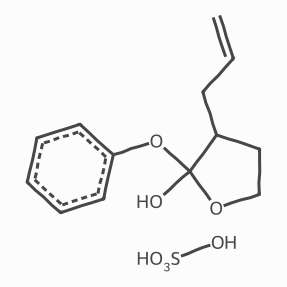 C=CCC1CCOC1(O)Oc1ccccc1.O=S(=O)(O)O